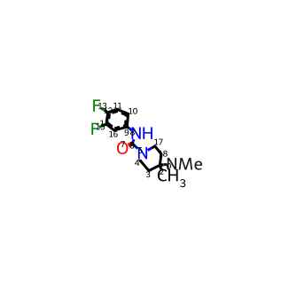 CNC1(C)CCN(C(=O)Nc2ccc(F)c(F)c2)CC1